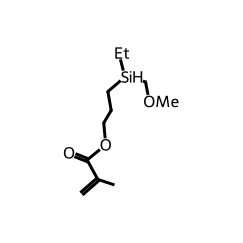 C=C(C)C(=O)OCCC[SiH](CC)COC